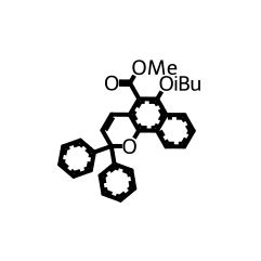 COC(=O)c1c2c(c3ccccc3c1OCC(C)C)OC(c1ccccc1)(c1ccccc1)C=C2